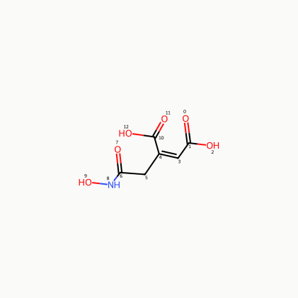 O=C(O)/C=C(/CC(=O)NO)C(=O)O